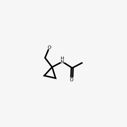 CC(=O)NC1(C[O])CC1